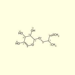 C=CC(C)COC1OC=C(O)C(O)C1O